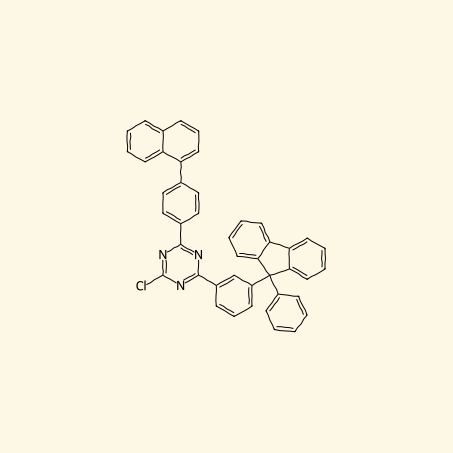 Clc1nc(-c2ccc(-c3cccc4ccccc34)cc2)nc(-c2cccc(C3(c4ccccc4)c4ccccc4-c4ccccc43)c2)n1